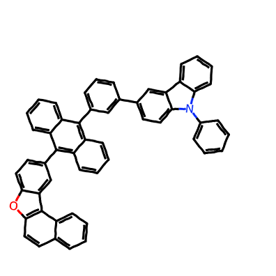 c1ccc(-n2c3ccccc3c3cc(-c4cccc(-c5c6ccccc6c(-c6ccc7oc8ccc9ccccc9c8c7c6)c6ccccc56)c4)ccc32)cc1